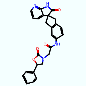 O=C(CN1CC(c2ccccc2)OC1=O)Nc1ccc2c(c1)CC1(C2)C(=O)Nc2ncccc21